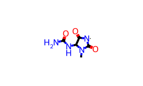 CN1C(=O)[N]C(=O)C1NC(N)=O